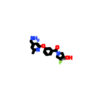 Cc1cc(CN)cc(Oc2cccc(C(=O)N3C[C@H](O)[C@@H](F)C3)c2)n1